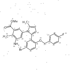 COC(=O)c1cc(-n2c(C)ccc2-c2cc(Br)ccc2OCc2ccc(F)cc2)cc(N)c1C